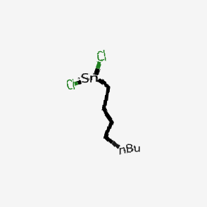 CCCCCCC[CH2][Sn]([Cl])[Cl]